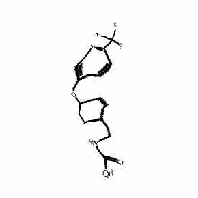 O=C(O)NCC1CCC(Oc2ccc(C(F)(F)F)nc2)CC1